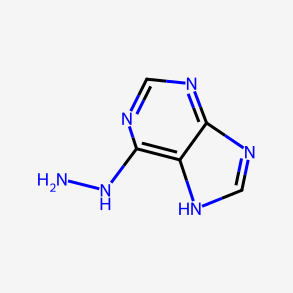 NNc1ncnc2nc[nH]c12